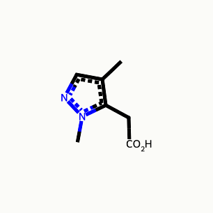 Cc1cnn(C)c1CC(=O)O